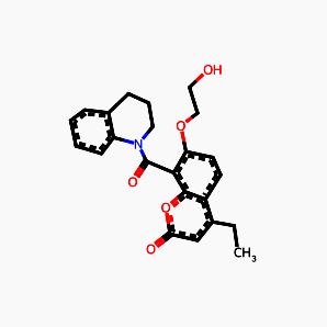 CCc1cc(=O)oc2c(C(=O)N3CCCc4ccccc43)c(OCCO)ccc12